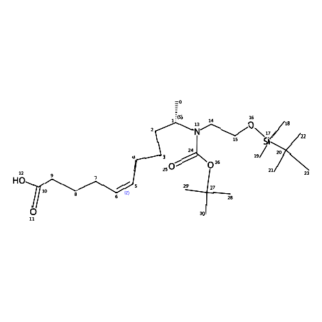 C[C@@H](CCC/C=C\CCCC(=O)O)N(CCO[Si](C)(C)C(C)(C)C)C(=O)OC(C)(C)C